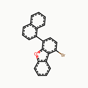 Brc1ccc(-c2cccc3ccccc23)c2oc3ccccc3c12